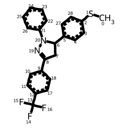 CSc1ccc(C2CC(c3ccc(C(F)(F)F)cc3)=NN2c2ccccc2)cc1